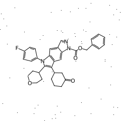 O=C1CCCC(c2c(C3CCOCC3)n(-c3ccc(F)cc3)c3cc4cnn(C(=O)OCc5ccccc5)c4cc23)C1